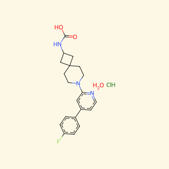 Cl.O.O=C(O)NC1CC2(CCN(c3cc(-c4ccc(F)cc4)ccn3)CC2)C1